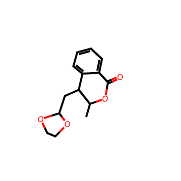 CC1OC(=O)c2ccccc2C1CC1OCCO1